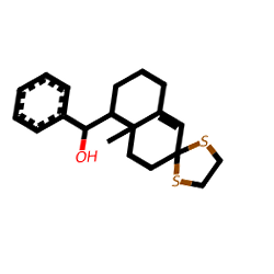 CC12CCC3(C=C1CCCC2C(O)c1ccccc1)SCCS3